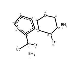 B.B.CCN(CC)c1ccccc1.CCN1CCOCC1